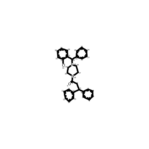 O=C(CC(c1ccccc1)c1ccccc1)N1CCN(C(c2ccccc2)c2ccccc2Cl)CC1